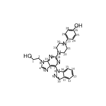 OCCn1cnc2c(-n3ncc4ccccc43)nc(N3CCN(c4ccc(O)cc4)CC3)nc21